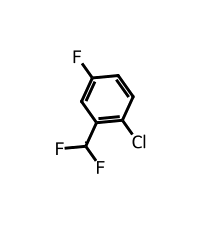 F[C](F)c1cc(F)ccc1Cl